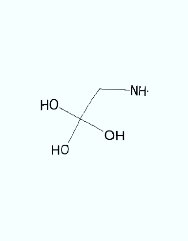 [NH]CC(O)(O)O